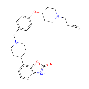 C=CCN1CCC(Oc2ccc(CN3CCC(c4cccc5[nH]c(=O)oc45)CC3)cc2)CC1